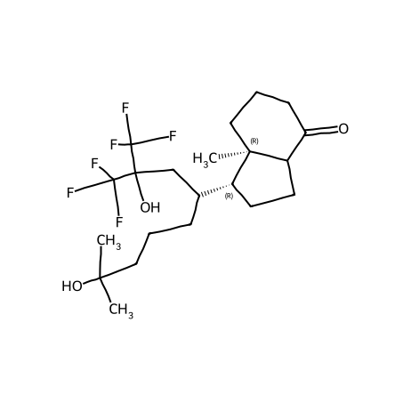 CC(C)(O)CCCC(CC(O)(C(F)(F)F)C(F)(F)F)[C@H]1CCC2C(=O)CCC[C@@]21C